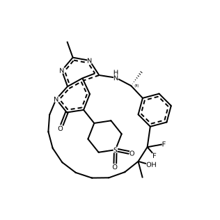 Cc1nc2c3cc(C4CCS(=O)(=O)CC4)c(=O)n(c3n1)CCCCCCCCC(C)(O)C(F)(F)c1cccc(c1)[C@@H](C)N2